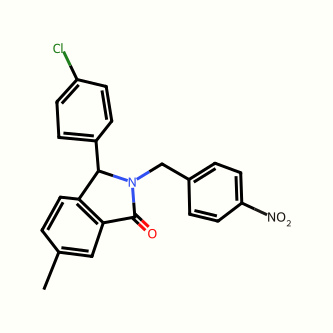 Cc1ccc2c(c1)C(=O)N(Cc1ccc([N+](=O)[O-])cc1)C2c1ccc(Cl)cc1